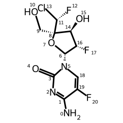 Nc1nc(=O)n([C@@H]2O[C@@](CO)([C@@H](F)Cl)[C@@H](O)[C@@H]2F)cc1F